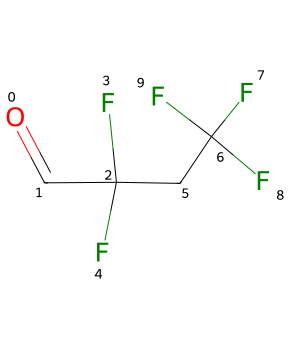 O=CC(F)(F)CC(F)(F)F